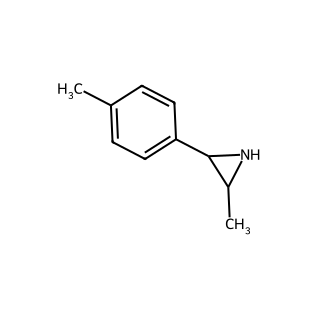 Cc1ccc(C2NC2C)cc1